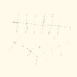 CC(C(F)(F)C(F)(F)C(F)(F)C(F)(F)F)C(F)(F)C(F)(F)C(F)(F)C(F)(F)F.FC(F)(F)C(F)(F)C(F)(F)C(F)(F)C(F)(F)C(F)(F)C(F)(F)C(F)(F)F